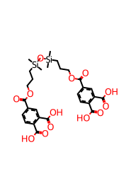 C[Si](C)(CCCOC(=O)c1ccc(C(=O)O)c(C(=O)O)c1)O[Si](C)(C)CCCOC(=O)c1ccc(C(=O)O)c(C(=O)O)c1